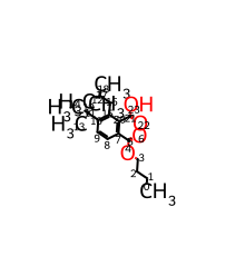 CCCCOC(=O)c1ccc(C(C)(C)C)c(CC(C)C)c1C(=O)O